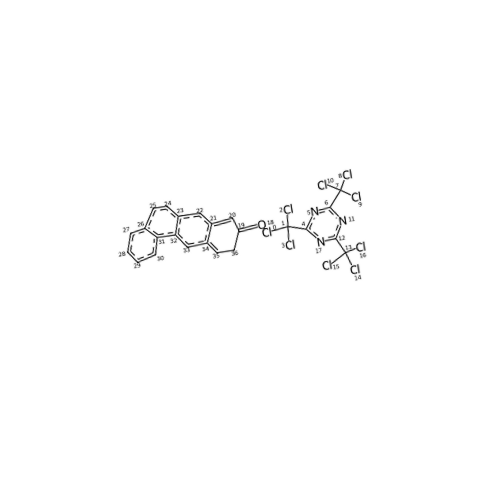 ClC(Cl)(Cl)c1nc(C(Cl)(Cl)Cl)nc(C(Cl)(Cl)Cl)n1.O=C1C=c2cc3ccc4ccccc4c3cc2=CC1